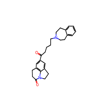 O=C(CCCCN1CCc2ccccc2CC1)c1cc2c3c(c1)CCN3C(=O)CC2